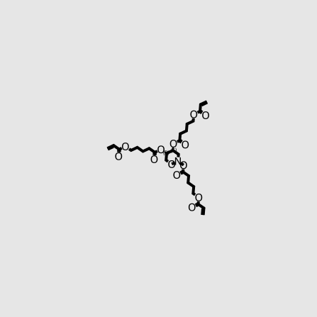 C=CC(=O)OCCCCC(=O)O[C@H]1CN(OC(=O)CCCCOC(=O)C=C)OC[C@H]1OC(=O)CCCCOC(=O)C=C